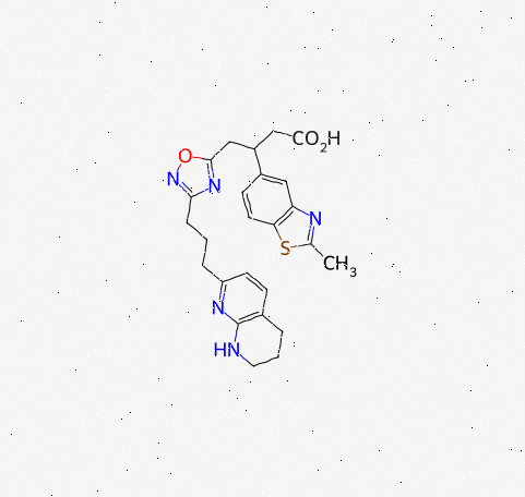 Cc1nc2cc(C(CC(=O)O)Cc3nc(CCCc4ccc5c(n4)NCCC5)no3)ccc2s1